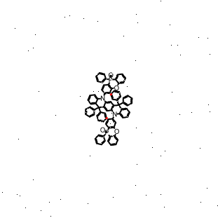 O=P1(c2ccccc2)c2ccccc2Oc2cc(N3c4ccccc4C(c4ccccc4)(c4ccccc4)c4cc5c(cc43)C(c3ccccc3)(c3ccccc3)c3ccccc3N5c3ccc4c(c3)Oc3ccccc3P4(=O)c3ccccc3)ccc21